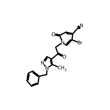 Cc1c(C(=O)Cn2cc(Br)c(C#N)cc2=O)cnn1Cc1ccccc1